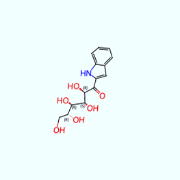 O=C(c1cc2ccccc2[nH]1)[C@H](O)[C@@H](O)[C@H](O)[C@H](O)CO